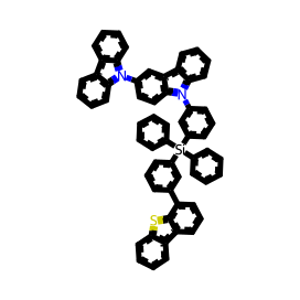 c1ccc([Si](c2ccccc2)(c2cccc(-c3cccc4c3sc3ccccc34)c2)c2cccc(-n3c4ccccc4c4cc(-n5c6ccccc6c6ccccc65)ccc43)c2)cc1